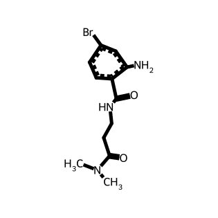 CN(C)C(=O)CCNC(=O)c1ccc(Br)cc1N